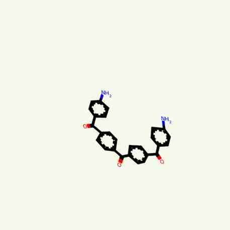 Nc1ccc(C(=O)c2ccc(C(=O)c3ccc(C(=O)c4ccc(N)cc4)cc3)cc2)cc1